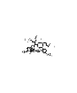 C=C/C=C(CC=C)/C(=C(\CC(=C)/C=C\C(=C/CC)[N+](=O)[O-])C[N+](C)(CCC)CCCC)C1\C=C/C(/C=C\C=C/C)=C\C(c2ccc([N+](=O)[O-])cc2)=C(\C)C1